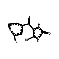 CCc1[nH]c(=O)[nH]c1C(=O)c1ccnc(Br)c1